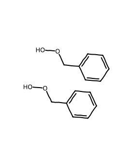 OOCc1ccccc1.OOCc1ccccc1